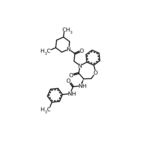 Cc1cccc(NC(=O)N[C@@H]2COc3ccccc3N(CC(=O)N3CC(C)CC(C)C3)C2=O)c1